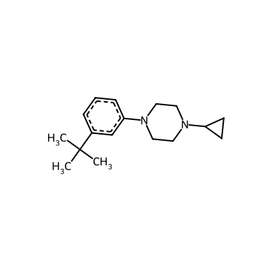 CC(C)(C)c1cccc(N2CCN(C3CC3)CC2)c1